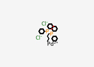 [Cl-].[Cl-].[Pd+2][CH2]CCC(P(c1ccccc1)c1ccccc1)P(c1ccccc1)c1ccccc1